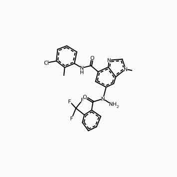 Cc1c(Cl)cccc1NC(=O)c1cc(N(N)C(=O)c2ccccc2C(F)(F)F)cc2c1ncn2C